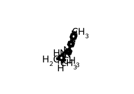 C=C1CC(Nc2nccc(-c3ccc(N4CCN(C)CC4)cc3)n2)CC(C)(C)N1